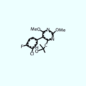 COc1nc(CC(C)(C)O)c(-c2ccc(F)c(Cl)c2)c(OC)n1